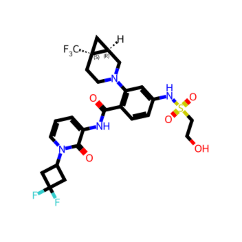 O=C(Nc1cccn(C2CC(F)(F)C2)c1=O)c1ccc(NS(=O)(=O)CCO)cc1N1CC[C@@]2(C(F)(F)F)C[C@H]2C1